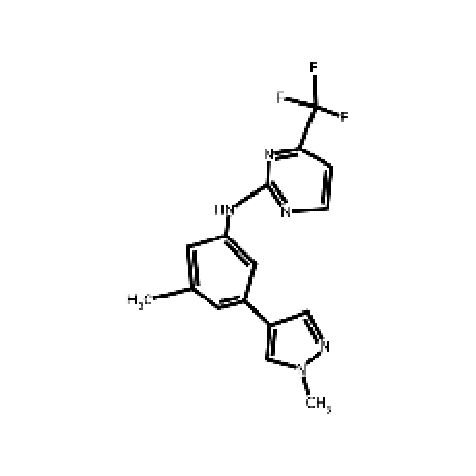 Cc1cc(Nc2nccc(C(F)(F)F)n2)cc(-c2cnn(C)c2)c1